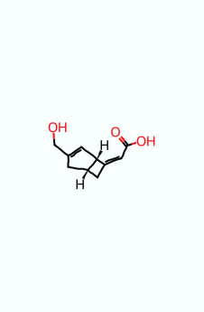 O=C(O)/C=C1/C[C@@H]2CC(CO)=C[C@H]12